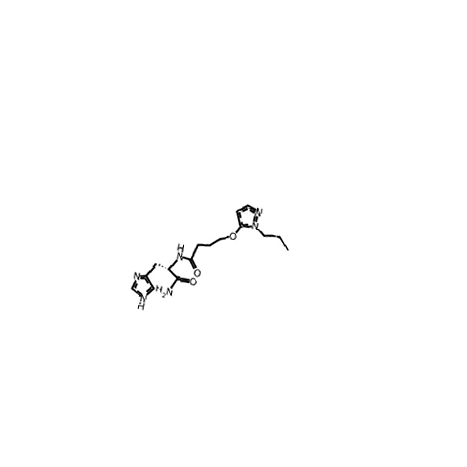 CCCn1nccc1OCCCC(=O)N[C@@H](Cc1c[nH]cn1)C(N)=O